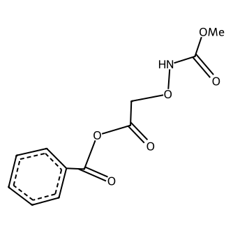 COC(=O)NOCC(=O)OC(=O)c1ccccc1